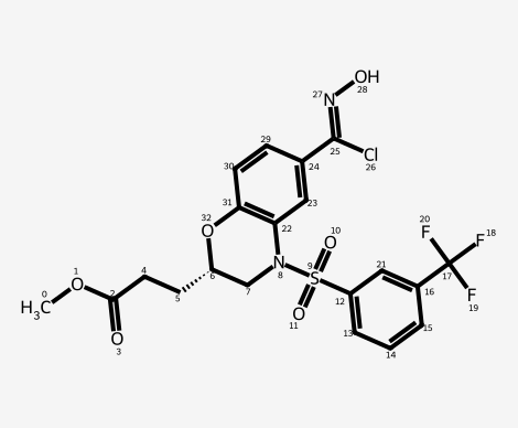 COC(=O)CC[C@H]1CN(S(=O)(=O)c2cccc(C(F)(F)F)c2)c2cc(/C(Cl)=N/O)ccc2O1